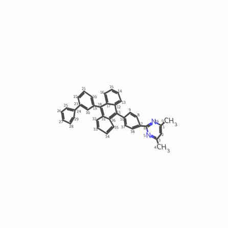 Cc1cc(C)nc(-c2ccc(-c3c4ccccc4c(-c4cccc(-c5ccccc5)c4)c4ccccc34)cc2)n1